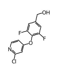 OCc1cc(F)c(Oc2ccnc(Cl)c2)c(F)c1